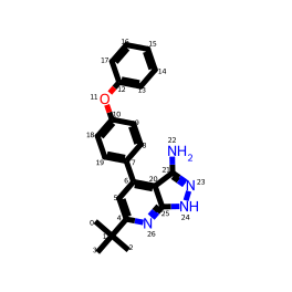 CC(C)(C)c1cc(-c2ccc(Oc3ccccc3)cc2)c2c(N)n[nH]c2n1